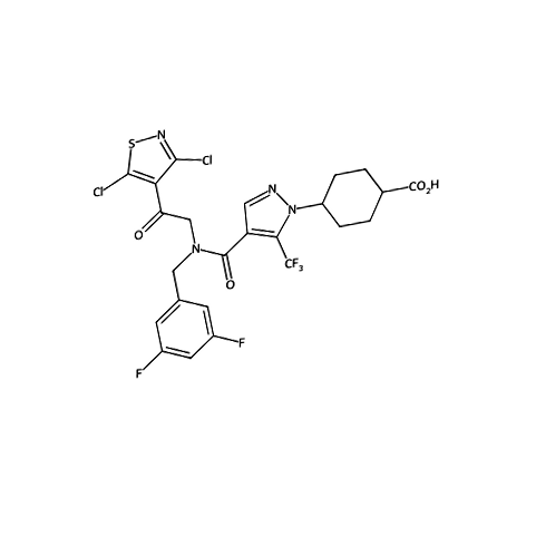 O=C(CN(Cc1cc(F)cc(F)c1)C(=O)c1cnn(C2CCC(C(=O)O)CC2)c1C(F)(F)F)c1c(Cl)nsc1Cl